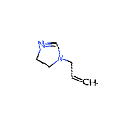 [CH]=CCN1C=NCC1